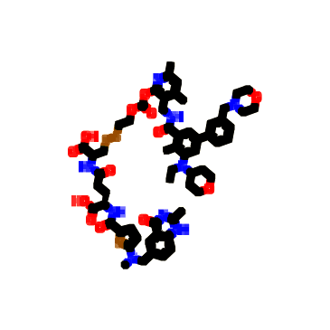 CCN(c1cc(-c2cccc(CN3CCOCC3)c2)cc(C(=O)NCc2c(C)cc(C)nc2OC(=O)OCCSSCC(NC(=O)CC[C@@H](NC(=O)c2ccc(N(C)Cc3ccc4[nH]c(C)nc(=O)c4c3)s2)C(=O)O)C(=O)O)c1C)C1CCOCC1